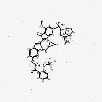 COc1cc(C(=O)N2C[C@H](N)[C@@H]3CC[C@H]2C3)cc2nc(-c3cc4ccc([C@@H](C)NC(=O)c5ccccc5OC(F)(F)F)nc4n3CC3CC3)n(C)c12